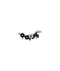 CC(c1ccc(-c2ccc(F)cc2F)cc1)N1CCC(CCCO)(c2cccs2)OC1=O